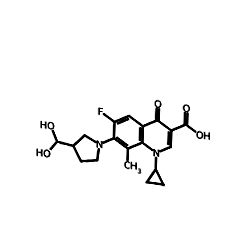 Cc1c(N2CCC(C(O)O)C2)c(F)cc2c(=O)c(C(=O)O)cn(C3CC3)c12